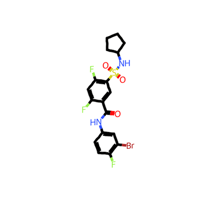 O=C(Nc1ccc(F)c(Br)c1)c1cc(S(=O)(=O)NC2CCCC2)c(F)cc1F